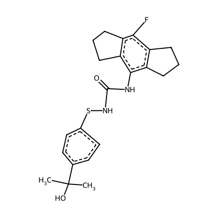 CC(C)(O)c1ccc(SNC(=O)Nc2c3c(c(F)c4c2CCC4)CCC3)cc1